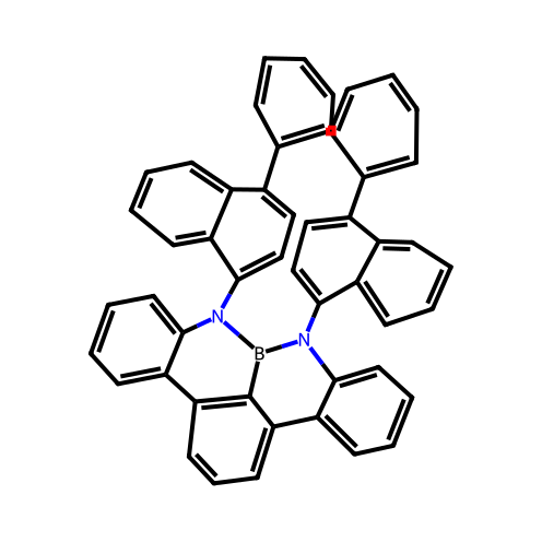 c1ccc(-c2ccc(N3B4c5c(cccc5-c5ccccc5N4c4ccc(-c5ccccc5)c5ccccc45)-c4ccccc43)c3ccccc23)cc1